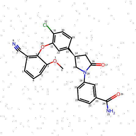 COc1cccc(C#N)c1Oc1cc([C@H]2CC(=O)N(c3cccc(C(N)=O)c3)C2)ccc1Cl